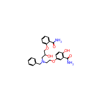 NC(=O)c1cc(OCCN(Cc2ccccc2)CC(O)COc2ccccc2C(N)=O)ccc1O